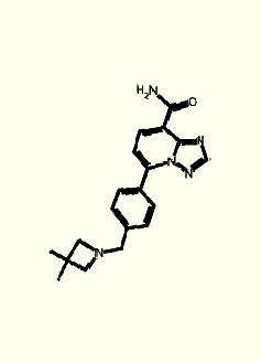 CC1(C)CN(Cc2ccc(-c3ccc(C(N)=O)c4n[c]nn34)cc2)C1